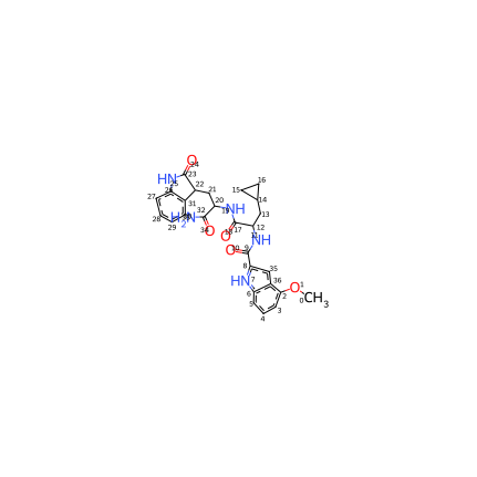 COc1cccc2[nH]c(C(=O)NC(CC3CC3)C(=O)NC(CC3C(=O)Nc4ccccc43)C(N)=O)cc12